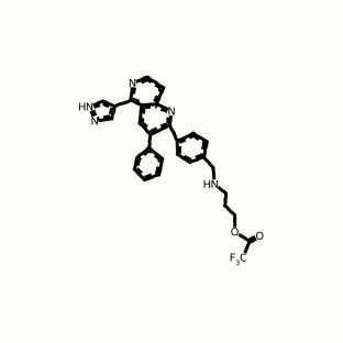 O=C(OCCCNCc1ccc(-c2nc3ccnc(-c4cn[nH]c4)c3cc2-c2ccccc2)cc1)C(F)(F)F